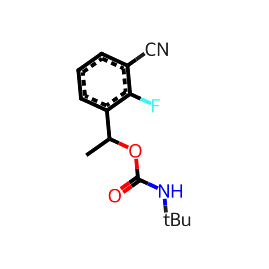 CC(OC(=O)NC(C)(C)C)c1cccc(C#N)c1F